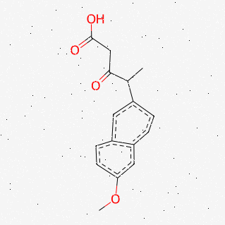 COc1ccc2cc(C(C)C(=O)CC(=O)O)ccc2c1